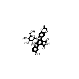 CC1COc2cc3c4c5c(c6c7cc(O)ccc7[nH]c6c4n([C@@H]4O[C@H](CO)[C@@H](O)[C@H](O)[C@H]4O)c3cc2O1)C(=O)NC5=O